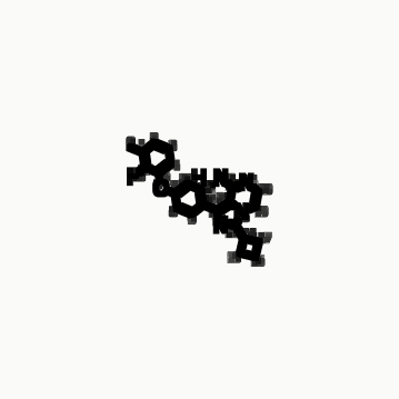 Cc1cccc(Oc2ccc(-c3nc(C4CCC4)n4ccnc(N)c34)cc2)c1F